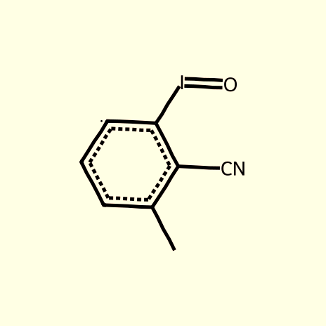 Cc1cc[c]c(I=O)c1C#N